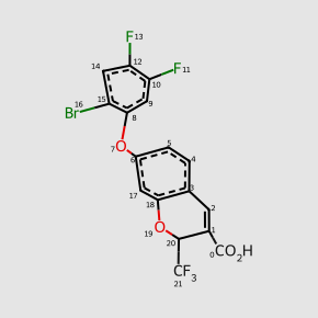 O=C(O)C1=Cc2ccc(Oc3cc(F)c(F)cc3Br)cc2OC1C(F)(F)F